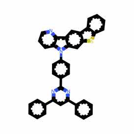 c1ccc(-c2cc(-c3ccccc3)nc(-c3ccc(-n4c5cc6sc7ccccc7c6cc5c5ncccc54)cc3)n2)cc1